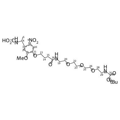 COc1cc(C(C)NC(=O)O)c([N+](=O)[O-])cc1OCCCC(=O)NCCOCCOCCOCCNC(=O)OC(C)(C)C